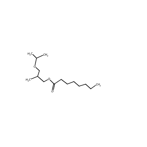 CCCCCCCC(=O)OCC(C)COC(C)C